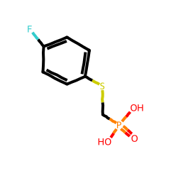 O=P(O)(O)CSc1ccc(F)cc1